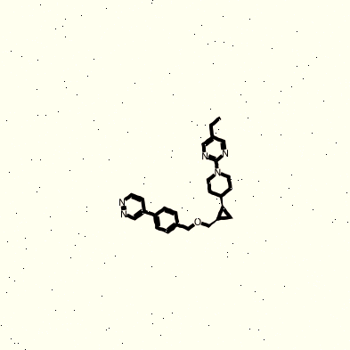 CCc1cnc(N2CCC([C@H]3C[C@H]3COCc3ccc(-c4ccnnc4)cc3)CC2)nc1